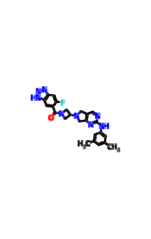 Cc1cc(C)cc(Nc2ncc3c(n2)CN(C2CN(C(=O)c4cc5[nH]nnc5cc4F)C2)C3)c1